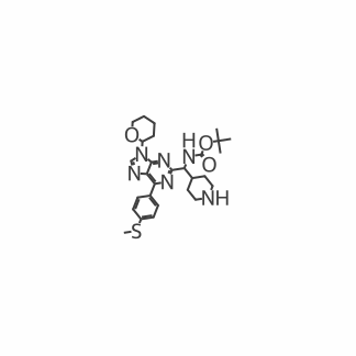 CSc1ccc(-c2nc(C(NC(=O)OC(C)(C)C)C3CCNCC3)nc3c2ncn3C2CCCCO2)cc1